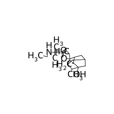 C=C1C2CC3CC(C(C)C1(O)C3)C2(CC)OC(=O)C(C)(C)NCC